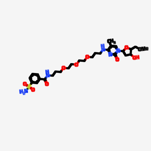 COCC1OC(n2cc(C)c(NCCCOCCOCCOCCCNC(=O)c3cccc(S(N)(=O)=O)c3)nc2=O)CC1O